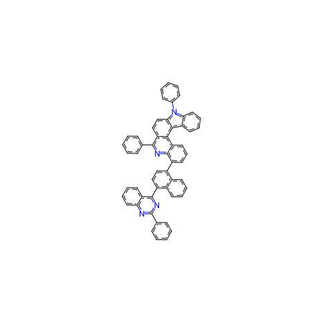 c1ccc(-c2nc(-c3ccc(-c4cccc5c4nc(-c4ccccc4)c4ccc6c(c7ccccc7n6-c6ccccc6)c45)c4ccccc34)c3ccccc3n2)cc1